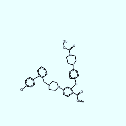 COC(=O)c1ccc(N2CCN(Cc3ccccc3-c3ccc(Cl)cc3)CC2)cc1Oc1ccc(N2CCN(C(=O)OC(C)(C)C)CC2)cc1